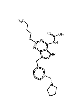 CCCCOc1nc(NC(=O)O)c2[nH]cc(Cc3cccc(CN4CCCC4)c3)c2n1